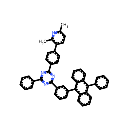 Cc1ccc(-c2ccc(-c3nc(-c4ccccc4)nc(-c4cccc(-c5c6ccccc6c(-c6ccccc6)c6ccccc56)c4)n3)cc2)c(C)n1